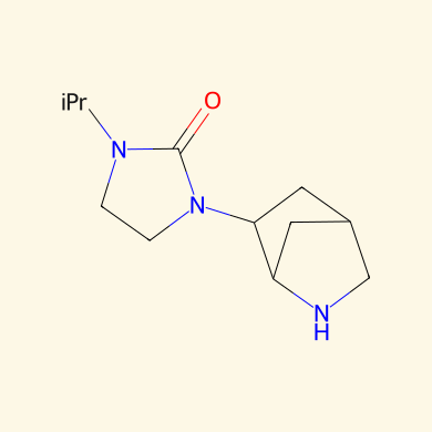 CC(C)N1CCN(C2CC3CNC2C3)C1=O